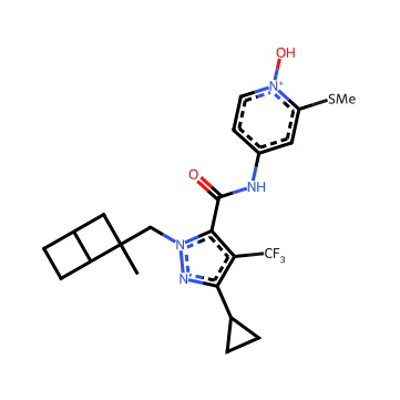 CSc1cc(NC(=O)c2c(C(F)(F)F)c(C3CC3)nn2CC2(C)CC3CCC32)cc[n+]1O